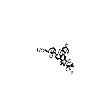 O=C(N[C@H](C1CC1)C(F)(F)F)c1cn(-c2ncc(F)cc2F)c2nc(N3CCCN(CCO)C3=O)ccc2c1=O